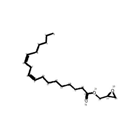 CCCCC/C=C\C/C=C\CCCCCCCC(=O)OCC1CO1